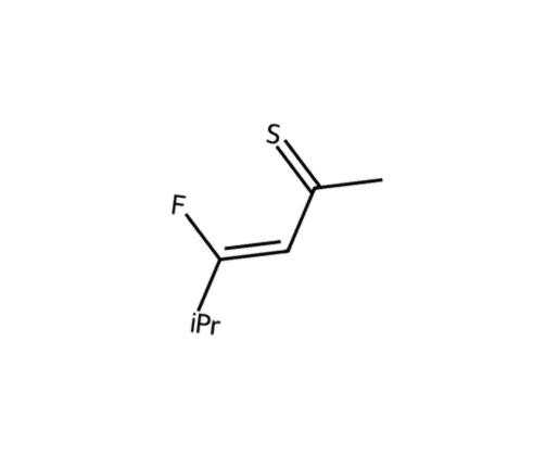 CC(=S)/C=C(\F)C(C)C